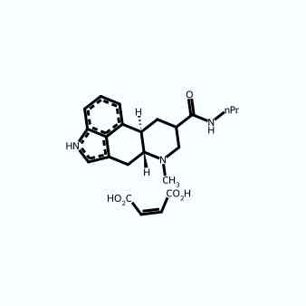 CCCNC(=O)C1C[C@@H]2c3cccc4[nH]cc(c34)C[C@H]2N(C)C1.O=C(O)/C=C\C(=O)O